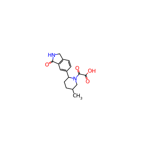 CC1CCC(c2ccc3c(c2)C(=O)NC3)N(C(=O)C(=O)O)C1